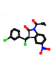 CC(=O)N1C(=O)C(=C(Cl)c2cccc(Cl)c2)c2cc([N+](=O)[O-])ccc21